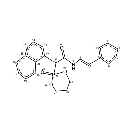 O=C(NC=Cc1ccccc1)C(c1cccc2ccccc12)P1(=O)OCCCO1